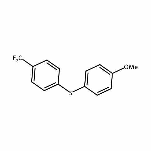 COc1ccc(Sc2ccc(C(F)(F)F)cc2)cc1